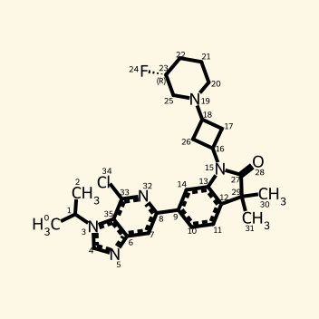 CC(C)n1cnc2cc(-c3ccc4c(c3)N(C3CC(N5CCC[C@@H](F)C5)C3)C(=O)C4(C)C)nc(Cl)c21